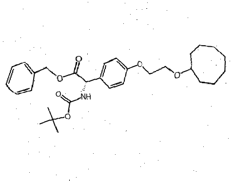 CC(C)(C)OC(=O)N[C@H](C(=O)OCc1ccccc1)c1ccc(OCCOC2CCCCCCC2)cc1